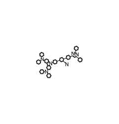 N#Cc1cc(-c2ccc(-n3c4ccc(N(c5ccccc5)c5ccccc5)cc4c4cc(N(c5ccccc5)c5ccccc5)ccc43)cc2)ccc1-c1ccc(-c2cc(-c3ccccc3)nc(-c3ccccc3)n2)cc1